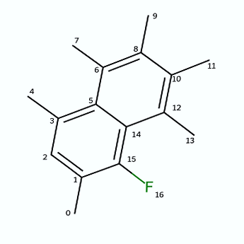 Cc1cc(C)c2c(C)c(C)c(C)c(C)c2c1F